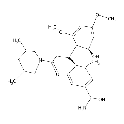 COC1=C[C@@H](O)C(C(CC(=O)N2CC(C)CC(C)C2)[C@@H]2C=CC(C(N)O)=CC2C)C(OC)=C1